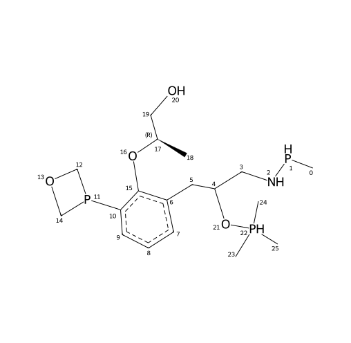 CPNCC(Cc1cccc(P2COC2)c1O[C@H](C)CO)O[PH](C)(C)C